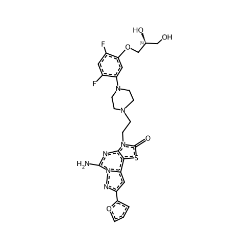 Nc1nc2c(sc(=O)n2CCN2CCN(c3cc(OC[C@@H](O)CO)c(F)cc3F)CC2)c2cc(-c3ccco3)nn12